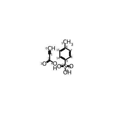 C#CC(=O)O.Cc1ccc(S(=O)(=O)O)cc1